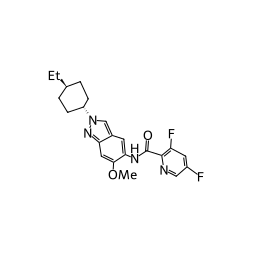 CC[C@H]1CC[C@H](n2cc3cc(NC(=O)c4ncc(F)cc4F)c(OC)cc3n2)CC1